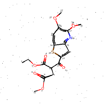 CCOC(=O)C(CC(=O)OC)C(=O)c1cc2nc(OC)c(OC)cc2s1